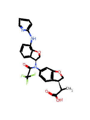 CC(C(=O)O)[C@@H]1COc2cc(N(C(=O)C(F)(F)F)[C@@H]3COc4c(Nc5ccccn5)cccc43)ccc21